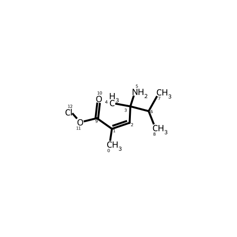 CC(=CC(C)(N)C(C)C)C(=O)OCl